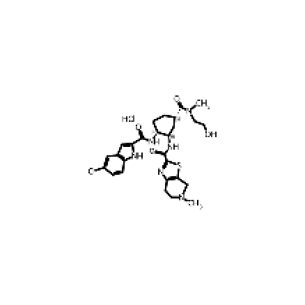 CN1CCc2nc(C(=O)N[C@@H]3C[C@@H](C(=O)N(C)CCO)CC[C@@H]3NC(=O)c3cc4cc(Cl)ccc4[nH]3)sc2C1.Cl